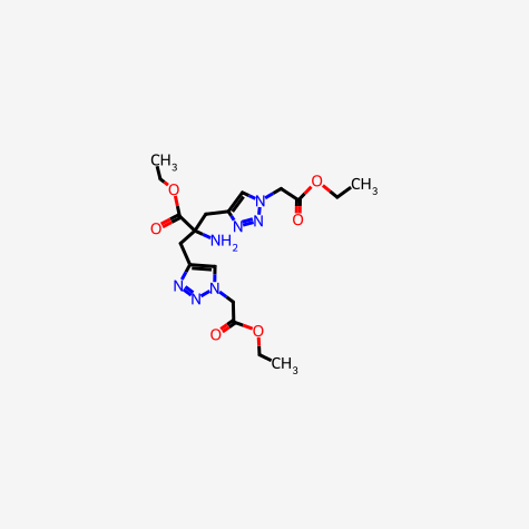 CCOC(=O)Cn1cc(CC(N)(Cc2cn(CC(=O)OCC)nn2)C(=O)OCC)nn1